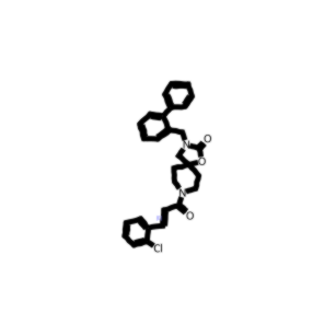 O=C(/C=C/c1ccccc1Cl)N1CCC2(CC1)CN(Cc1ccccc1-c1ccccc1)C(=O)O2